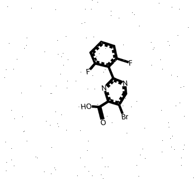 O=C(O)c1nc(-c2c(F)cccc2F)ncc1Br